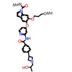 CNC(=O)n1ccc2cc(Oc3ccnc(NC(=O)c4ccc(C5CN(CC(C)O)C5)cc4)c3)c(OCCCOC)cc21